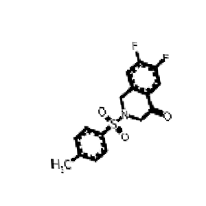 Cc1ccc(S(=O)(=O)N2CC(=O)c3cc(F)c(F)cc3C2)cc1